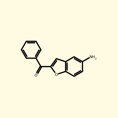 Nc1ccc2oc(C(=O)c3ccccc3)cc2c1